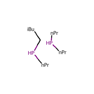 CCCPCC(C)CC.CCCPCCC